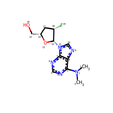 CN(C)c1ncnc2c1ncn2[C@@H]1O[C@H](CO)C[C@@H]1F